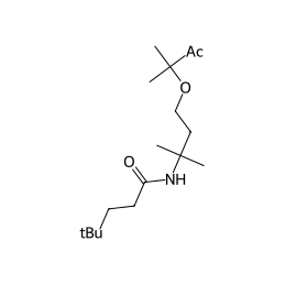 CC(=O)C(C)(C)OCCC(C)(C)NC(=O)CCC(C)(C)C